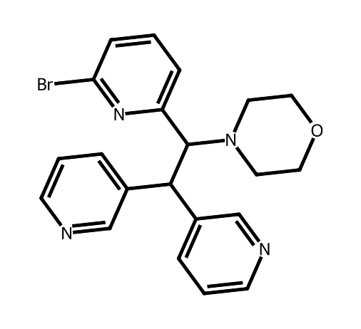 Brc1cccc(C(C(c2cccnc2)c2cccnc2)N2CCOCC2)n1